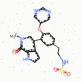 Cn1cc(-c2cc(CCN[SH](=O)=O)ccc2Oc2cncnc2)c2cc[nH]c2c1=O